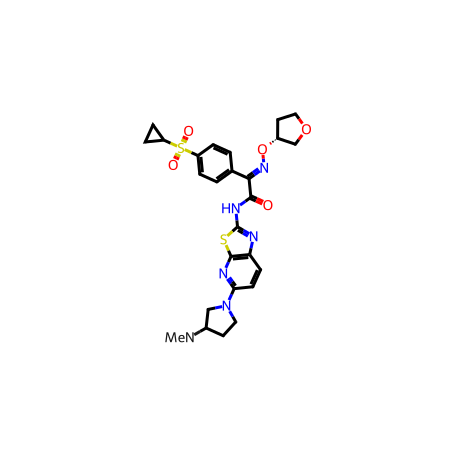 CNC1CCN(c2ccc3nc(NC(=O)/C(=N/O[C@@H]4CCOC4)c4ccc(S(=O)(=O)C5CC5)cc4)sc3n2)C1